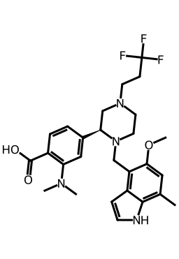 COc1cc(C)c2[nH]ccc2c1CN1CCN(CCC(F)(F)F)C[C@@H]1c1ccc(C(=O)O)c(N(C)C)c1